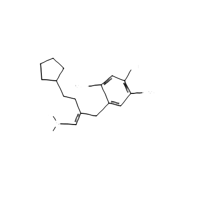 COc1cc(CC(=CN(C)C)CCC2CCCC2)c(OC)cc1C